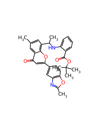 Cc1cc(C(C)Nc2ccccc2C(=O)OC(C)(C)C)c2oc(-c3ccc4oc(C)nc4c3)cc(=O)c2c1